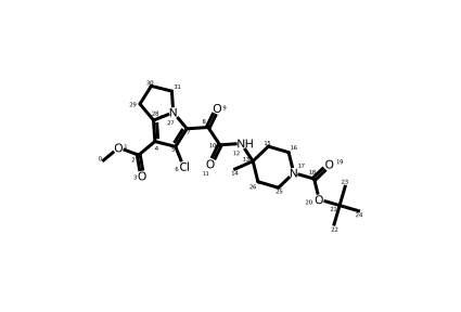 COC(=O)c1c(Cl)c(C(=O)C(=O)NC2(C)CCN(C(=O)OC(C)(C)C)CC2)n2c1CCC2